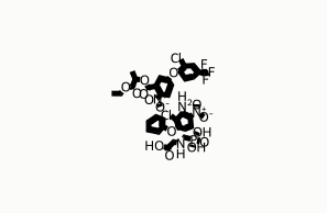 CCOC(=O)C(C)OC(=O)c1cc(Oc2ccc(C(F)(F)F)cc2Cl)ccc1[N+](=O)[O-].Nc1c([N+](=O)[O-])ccc(Oc2ccccc2)c1Cl.O=C(O)CNCP(=O)(O)O